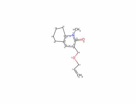 C=CCOCc1cc2c(n(C)c1=O)CCCC2